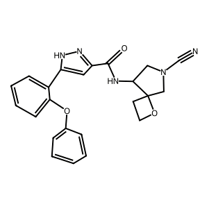 N#CN1CC(NC(=O)c2cc(-c3ccccc3Oc3ccccc3)[nH]n2)C2(CCO2)C1